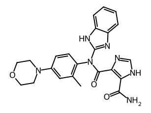 Cc1cc(N2CCOCC2)ccc1N(C(=O)c1nc[nH]c1C(N)=O)c1nc2ccccc2[nH]1